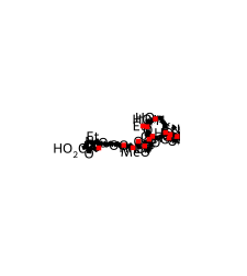 CC[C@H]1OC(=O)[C@H](C)[C@@H](O[C@H]2C[C@@](C)(OC)[C@@H](OC(=O)NCCOCCOCCOc3ccc4c(=O)c(C(=O)O)cn(CC)c4c3)[C@H](C)O2)[C@H](C)[C@@H](O[C@@H]2O[C@H](C)C[C@H](N(C)C)[C@H]2O)[C@](C)(O)C[C@@H](C)CN(C)[C@H](C)[C@@H](O)[C@]1(C)O